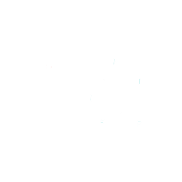 OCCC(F)(F)C(F)=C(F)F